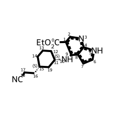 CCOC(=O)c1cnc2[nH]ccc2c1N[C@H]1CCC[C@@H](CCC#N)C1